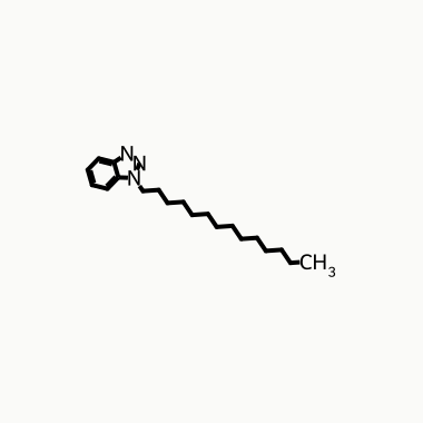 CCCCCCCCCCCCCCn1nnc2ccccc21